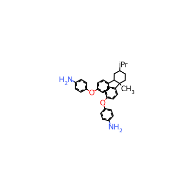 CC(C)C1CCC(C)(c2ccc(Oc3ccc(N)cc3)cc2)C(c2ccc(Oc3ccc(N)cc3)cc2)C1